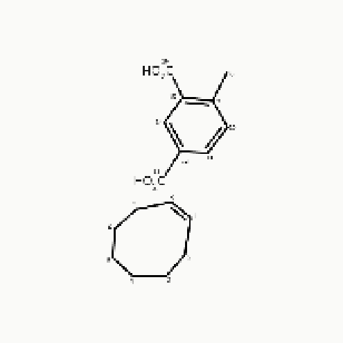 C1=CCCCCCC1.Cc1ccc(C(=O)O)cc1C(=O)O